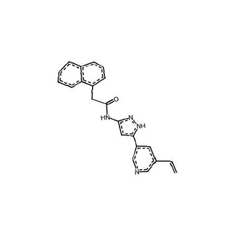 C=Cc1cncc(-c2cc(NC(=O)Cc3cccc4ccccc34)n[nH]2)c1